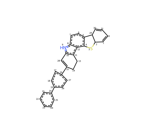 C1=CC2Sc3c(ccc4[nH]c5c(c34)CCC(c3ccc(-c4ccccc4)cc3)=C5)C2C=C1